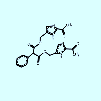 CC(=O)c1ncc(COC(=O)C(C(=O)OCc2cnc(C(C)=O)[nH]2)c2ccccc2)[nH]1